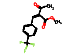 COC(=O)C(=Cc1ccc(C(F)(F)F)cc1)C(C)=O